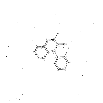 Cc1cc2cccnc2n(-c2ccccc2F)c1=O